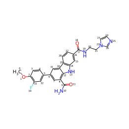 COc1ccc(-c2cc(C(N)=O)c3[nH]c4cc(C(=O)NCCn5ccnc5)ccc4c3c2)cc1F